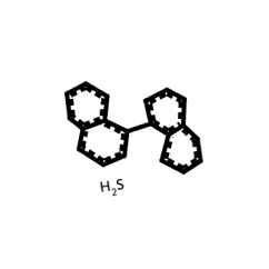 S.c1ccc2c(-c3cccc4ccccc34)cccc2c1